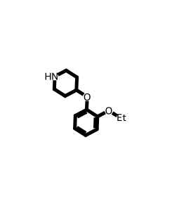 CCOc1ccccc1OC1CCNCC1